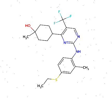 CCSc1ccc(Nc2ncc(C(F)(F)F)c(C3CCC(C)(O)CC3)n2)c(C)c1